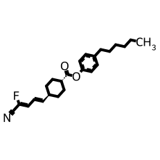 CCCCCCc1ccc(OC(=O)[C@H]2CC[C@H](C=CC=C(F)C#N)CC2)cc1